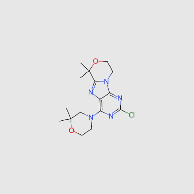 CC1(C)CN(c2nc(Cl)nc3c2nc2n3CCOC2(C)C)CCO1